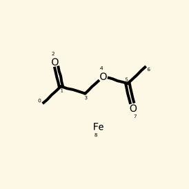 CC(=O)COC(C)=O.[Fe]